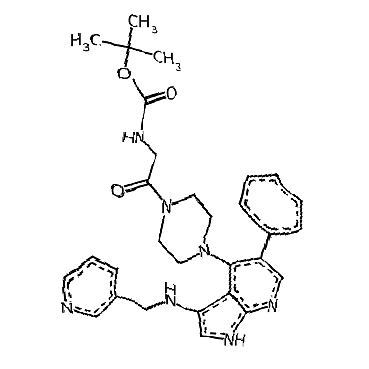 CC(C)(C)OC(=O)NCC(=O)N1CCN(c2c(-c3ccccc3)cnc3[nH]cc(NCc4cccnc4)c23)CC1